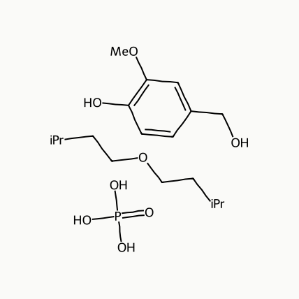 CC(C)CCOCCC(C)C.COc1cc(CO)ccc1O.O=P(O)(O)O